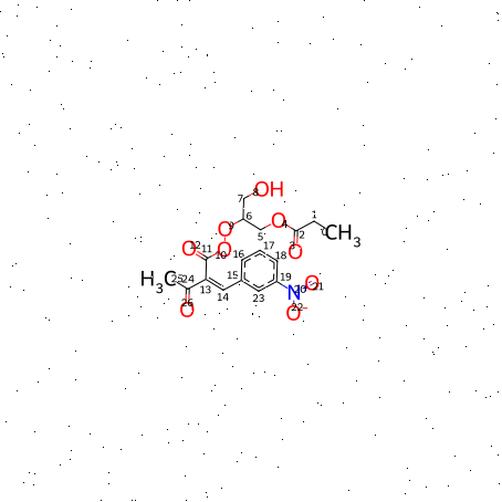 CCC(=O)OCC(CO)OOC(=O)C(=Cc1cccc([N+](=O)[O-])c1)C(C)=O